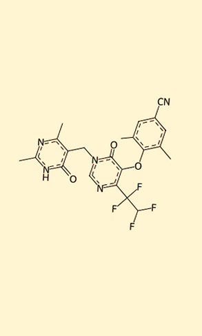 Cc1nc(C)c(Cn2cnc(C(F)(F)C(F)F)c(Oc3c(C)cc(C#N)cc3C)c2=O)c(=O)[nH]1